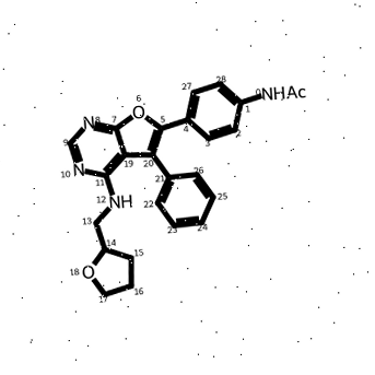 CC(=O)Nc1ccc(-c2oc3ncnc(NCC4CCCO4)c3c2-c2ccccc2)cc1